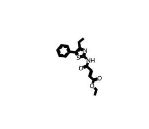 CCOC(=O)/C=C/C(=O)Nc1nc(CC)c(-c2ccccc2)s1